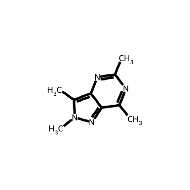 Cc1nc(C)c2nn(C)c(C)c2n1